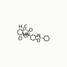 CC(C(=O)Nc1ccc2oc(-c3ccccc3)nc2c1)c1cccc(Cl)c1Cl